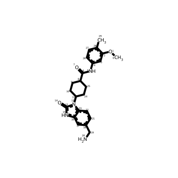 COc1cc(NC(=O)C2CCC(n3c(=O)[nH]c4cc(CN)ccc43)CC2)ccc1C